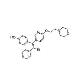 CCC(=C(c1ccc(O)cc1)c1ccc(OCCN2CCOCC2)nc1)c1ccccc1